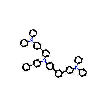 c1ccc(-c2ccc(N(c3ccc(-c4cccc(-c5ccc(N(c6ccccc6)c6ccccc6)cc5)c4)cc3)c3cccc(-c4ccc(N(c5ccccc5)c5ccccc5)cc4)c3)cc2)cc1